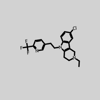 CCN1CCc2c(c3cc(Cl)ccc3n2CCc2ccc(C(F)(F)F)nc2)C1